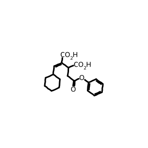 O=C(CC(C(=O)O)C(=CC1CCCCC1)C(=O)O)Oc1ccccc1